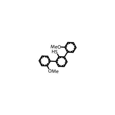 COc1ccccc1-c1cccc(-c2ccccc2OC)c1S